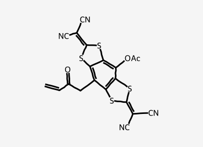 C=CC(=O)Cc1c2c(c(OC(C)=O)c3c1SC(=C(C#N)C#N)S3)SC(=C(C#N)C#N)S2